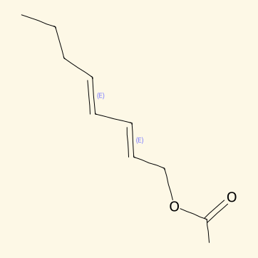 CCC/C=C/C=C/COC(C)=O